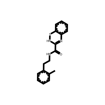 Cc1ccccc1CCNC(=O)C1=Nc2ccccc2SN1